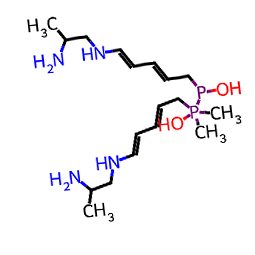 CC(N)CN/C=C/C=C/CP(O)P(C)(C)(O)C/C=C/C=C/NCC(C)N